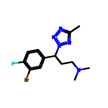 Cc1nnn(C(CCN(C)C)c2ccc(F)c(Br)c2)n1